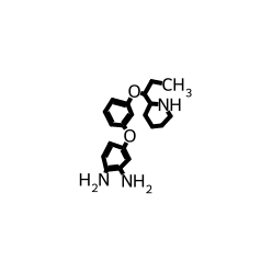 CCC(Oc1cccc(Oc2ccc(N)c(N)c2)c1)C1CCCCN1